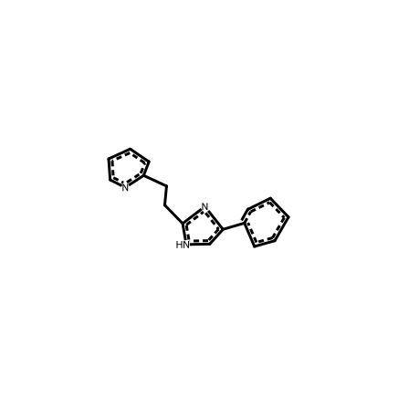 c1ccc(-c2c[nH]c(CCc3ccccn3)n2)cc1